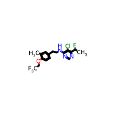 Cc1cc(CCNc2ncnc(C(C)F)c2Cl)ccc1OCC(F)(F)F